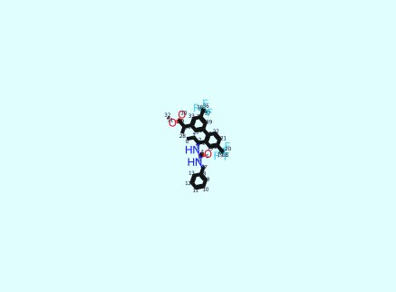 CCC(NC(=O)NCc1ccccc1)c1cc(C(F)(F)F)ccc1-c1cc(C(C)C(=O)OC)cc(C(F)(F)F)c1